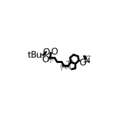 C[C@H](CCC[C@@]1(C)O[C@H](C(C)(C)C)OC1=O)[C@H]1CCC2C(O[Si](C)(C)C)CCC[C@@]21C